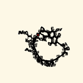 COCCOCO/N=C1/c2c3c(C)c(O)c4c2C(=O)C=C(NC(=O)/C(C)=C\C=C\[C@H](C)[C@H](O)[C@@H](C)[C@@H](O)[C@@H](C)[C@H](OC(C)=O)[C@H](C)[C@@H](OC)/C=C/O[C@@]1(C)O3)C4=O